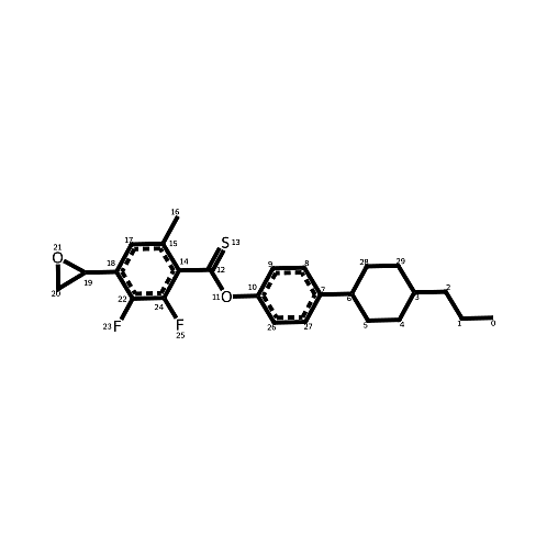 CCCC1CCC(c2ccc(OC(=S)c3c(C)cc(C4CO4)c(F)c3F)cc2)CC1